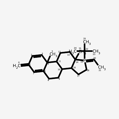 C=C1C=CC2(C)C(=C1)CCC1C2CCC2(C)C1CCP2(=CC)C(C)(C)C